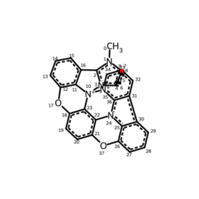 Cn1c2[n+](c3ncncc31)[N+]13c4c(cccc4-2)Oc2ccc4c(c21)-n1c2c(cccc2c2ccc[n+]3c21)O4